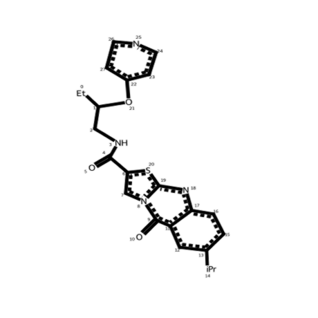 CCC(CNC(=O)c1cn2c(=O)c3cc(C(C)C)ccc3nc2s1)Oc1ccncc1